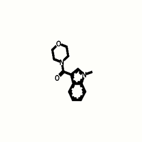 Cn1cc(C(=O)N2CCOCC2)c2ccccc21